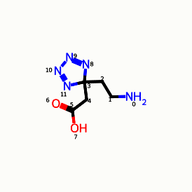 NCCC1(CC(=O)O)N=NN=N1